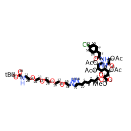 COC(=O)[C@@]1(OCCCCCCc2cn(CCOCCOCCOCCOCCNC(=O)OC(C)(C)C)nn2)C[C@H](OC(C)=O)[C@@H](NC(=O)COC(C)=O)[C@H]([C@H](OC(C)=O)[C@@H](CNC(=O)Cc2ccc(Cl)cc2)OC(C)=O)O1